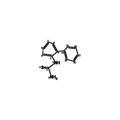 NC(=S)Nc1ccccc1-c1ccccc1